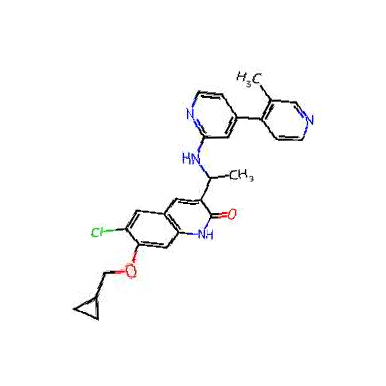 Cc1cnccc1-c1ccnc(NC(C)c2cc3cc(Cl)c(OCC4CC4)cc3[nH]c2=O)c1